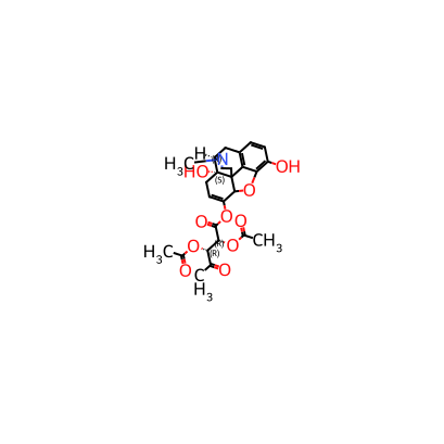 CC(=O)O[C@@H](C(C)=O)[C@@H](OC(C)=O)C(=O)OC1=CC[C@@]2(O)[C@H]3Cc4ccc(O)c5c4C2(CCN3C)C1O5